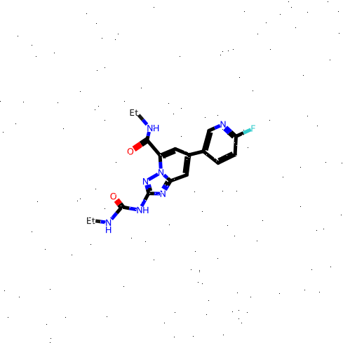 CCNC(=O)Nc1nc2cc(-c3ccc(F)nc3)cc(C(=O)NCC)n2n1